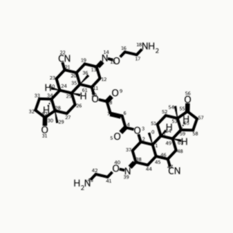 C[C@]12C(OC(=O)/C=C/C(=O)OC3CC(=NOCCN)CC4C(C#N)C[C@@H]5[C@@H](CC[C@]6(C)C(=O)CC[C@@H]56)[C@@]34C)CC(=NOCCN)CC1C(C#N)C[C@@H]1[C@H]2CC[C@]2(C)C(=O)CC[C@@H]12